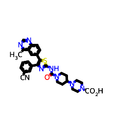 Cc1ncnc2ccc(-c3sc(NC(=O)N4CCC(N5CCN(C(=O)O)CC5)CC4)nc3-c3cccc(C#N)c3)cc12